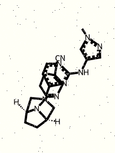 Cn1cc(Nc2nccc(N3C[C@H]4CC[C@@H](C3)N4C3=NC=C(C#N)OC3)n2)cn1